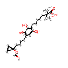 CC(C)(CCCCCc1c(O)cc(CCCCC2(OC=O)CC2)c(O)c1O)C(=O)O